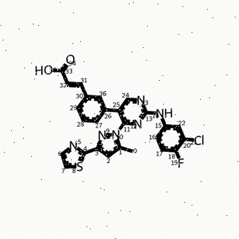 Cc1cc(-c2nccs2)nn1-c1nc(Nc2ccc(F)c(Cl)c2)ncc1-c1cccc(C=CC(=O)O)c1